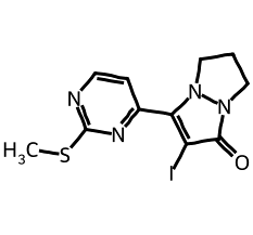 CSc1nccc(-c2c(I)c(=O)n3n2CCC3)n1